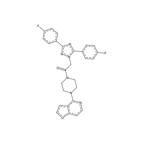 O=C(Cn1nc(-c2ccc(F)cc2)nc1-c1ccc(F)cc1)N1CCN(c2nccc3occc23)CC1